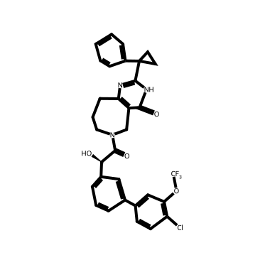 O=C([C@H](O)c1cccc(-c2ccc(Cl)c(OC(F)(F)F)c2)c1)N1CCCc2nc(C3(c4ccccc4)CC3)[nH]c(=O)c2C1